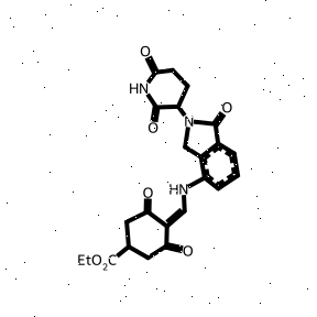 CCOC(=O)C1CC(=O)C(=CNc2cccc3c2CN(C2CCC(=O)NC2=O)C3=O)C(=O)C1